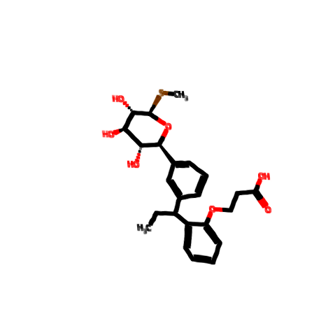 CCC(c1cccc([C@@H]2O[C@H](SC)[C@@H](O)[C@H](O)[C@H]2O)c1)c1ccccc1OCCC(=O)O